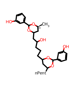 CCCCCC1CC(CCCC(O)CC2C[C@H](C)OC(c3cccc(O)c3)O2)OC(c2cccc(O)c2)O1